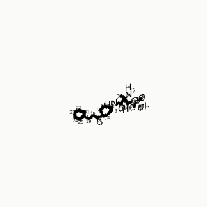 CC(N)(COP(=O)(O)O)C(=O)Nc1ccc(C(=O)CCc2ccccc2)cc1